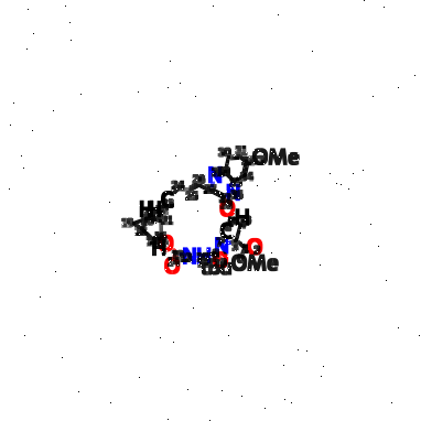 COC(=O)[C@@H]1C[C@@H]2CN1C(=O)[C@H](C(C)(C)C)NC(=O)O[C@@H]1CC3C[C@@H]3[C@H]1CCC/C=C/c1nc3ccc(OC)cc3nc1O2